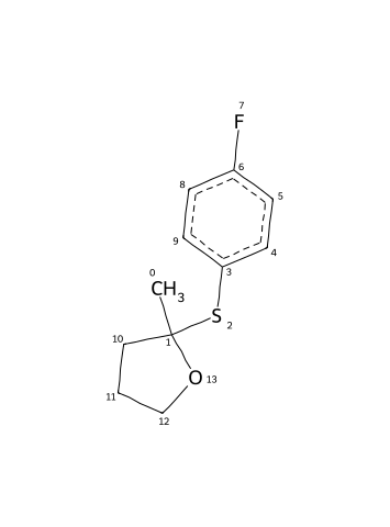 CC1(Sc2ccc(F)cc2)CCCO1